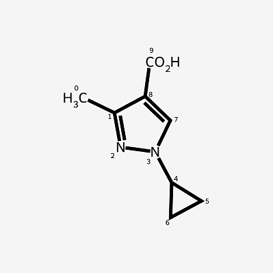 Cc1nn(C2CC2)cc1C(=O)O